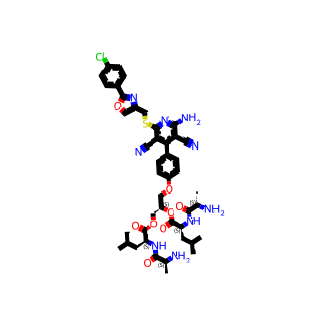 CC(C)C[C@H](NC(=O)[C@H](C)N)C(=O)OC[C@H](COc1ccc(-c2c(C#N)c(N)nc(SCc3coc(-c4ccc(Cl)cc4)n3)c2C#N)cc1)OC(=O)[C@H](CC(C)C)NC(=O)[C@H](C)N